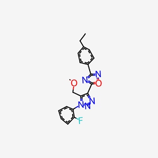 CCc1ccc(-c2noc(-c3nnn(-c4ccccc4F)c3COC)n2)cc1